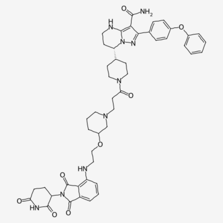 NC(=O)c1c(-c2ccc(Oc3ccccc3)cc2)nn2c1NCC[C@H]2C1CCN(C(=O)CCN2CCCC(OCCNc3cccc4c3C(=O)N(C3CCC(=O)NC3=O)C4=O)C2)CC1